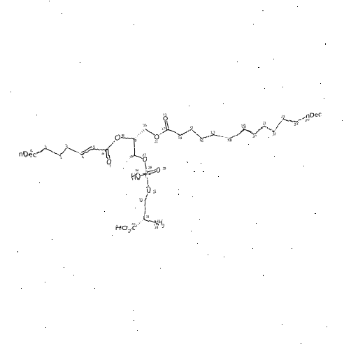 CCCCCCCCCCCCCC=CC(=O)O[C@H](COC(=O)CCCCCCCCCCCCCCCCCCCCC)COP(=O)(O)OC[C@H](N)C(=O)O